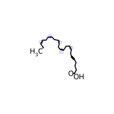 CC/C=C\C/C=C\C/C=C\C/C=C\C/C=C\CC#CCCCC(=O)O